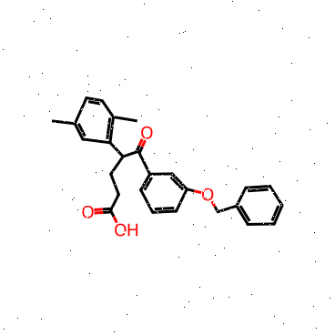 Cc1ccc(C)c(C(CCC(=O)O)C(=O)c2cccc(OCc3ccccc3)c2)c1